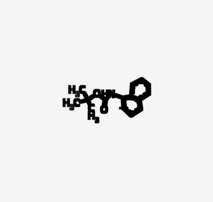 CC(C)(C)OC(=O)Nc1[c]ccc2ccccc12